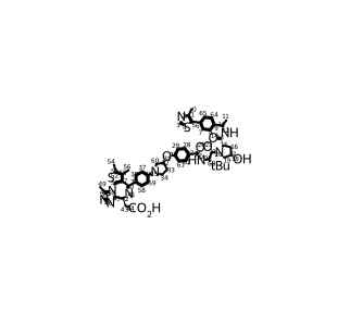 Cc1ncsc1-c1ccc(C(C)NC(=O)[C@@H]2C[C@@H](O)CN2C(=O)C(NC(=O)c2ccc(OC3CCN(c4ccc(C5=N[C@@H](CC(=O)O)c6nnc(C)n6-c6sc(C)c(C)c65)cc4)C3)cc2)C(C)(C)C)cc1